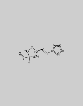 CC1(C=O)N[C@H](C=Cc2cccs2)CO1